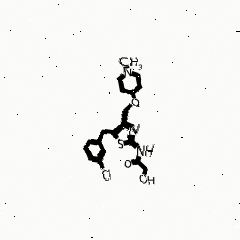 CN1CCC(OCc2nc(NC(=O)CO)sc2Cc2cccc(Cl)c2)CC1